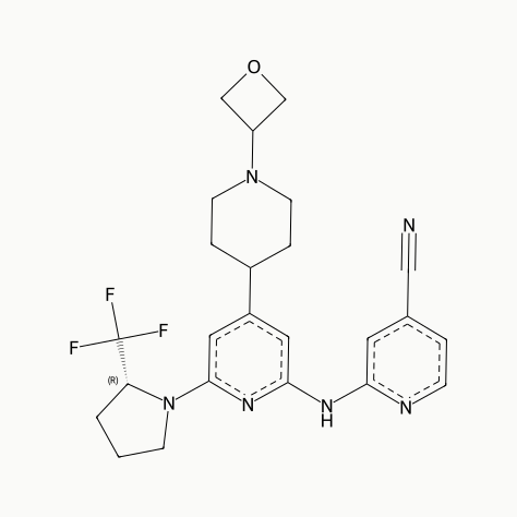 N#Cc1ccnc(Nc2cc(C3CCN(C4COC4)CC3)cc(N3CCC[C@@H]3C(F)(F)F)n2)c1